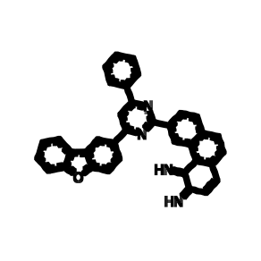 N=C1C=Cc2ccc3ccc(-c4nc(-c5ccccc5)cc(-c5ccc6oc7ccccc7c6c5)n4)cc3c2C1=N